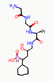 CC(C)[C@H](NC(=O)CNC(=O)CN)C(=O)NC[C@H](O)CC(C1CCCCC1)[PH](=O)O